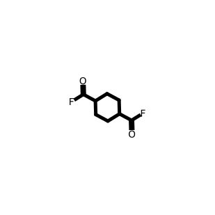 O=C(F)C1CCC(C(=O)F)CC1